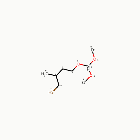 CCO[SiH](OCC)OCCC(C)CS